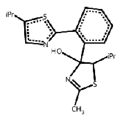 CC1=NC(O)(c2ccccc2-c2ncc(C(C)C)s2)C(C(C)C)S1